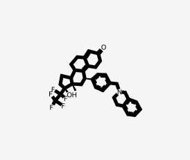 C[C@]12C[C@H](c3ccc(CN4CCc5ccccc5C4)cc3)C3=C4CCC(=O)C=C4CCC3C1CC[C@@]2(O)C(F)(F)C(F)(F)F